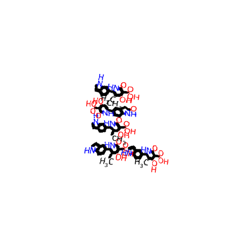 CCc1c(-c2ccc3[nH]ccc3c2)[nH]c(=O)c(C(=O)O)c1O.CCc1c(-c2ccc3cc[nH]c3c2)[nH]c(=O)c(C(=O)O)c1O.Cc1c(-c2ccc3[nH]ccc3c2)[nH]c(=O)c(C(=O)O)c1O.Cc1c(-c2ccc3c(c2)CC(=O)N3)[nH]c(=O)c(C(=O)O)c1O.Cc1c(-c2ccc3cc[nH]c3c2)[nH]c(=O)c(C(=O)O)c1O